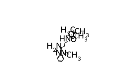 CCn1c(C(N)CCCNC(=O)OC(C)(C)C)nc2ccccc21